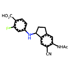 CC(=O)Nc1cc2c(cc1C#N)C(Nc1ccc(C(=O)O)c(F)c1)CC2